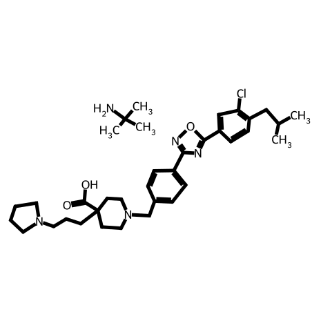 CC(C)(C)N.CC(C)Cc1ccc(-c2nc(-c3ccc(CN4CCC(CCCN5CCCC5)(C(=O)O)CC4)cc3)no2)cc1Cl